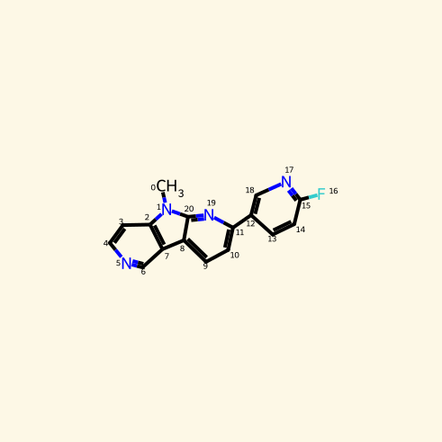 Cn1c2ccncc2c2ccc(-c3ccc(F)nc3)nc21